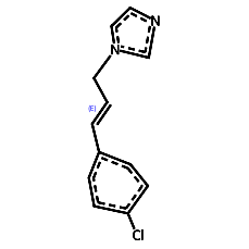 Clc1ccc(/C=C/Cn2ccnc2)cc1